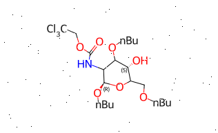 CCCCOCC1O[C@@H](OCCCC)C(NC(=O)OCC(Cl)(Cl)Cl)C(OCCCC)[C@@H]1O